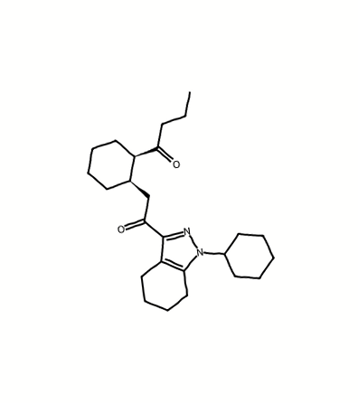 CCCC(=O)[C@@H]1CCCC[C@@H]1CC(=O)c1nn(C2CCCCC2)c2c1CCCC2